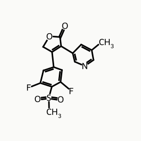 Cc1cncc(C2=C(c3cc(F)c(S(C)(=O)=O)c(F)c3)COC2=O)c1